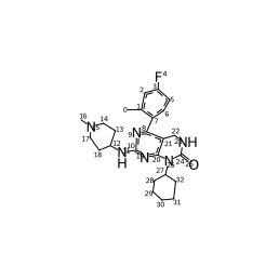 Cc1cc(F)ccc1-c1nc(NC2CCN(C)CC2)nc2c1CNC(=O)N2C1CCCCC1